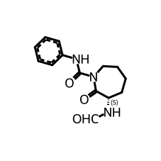 O=CN[C@H]1CCCCN(C(=O)Nc2ccccc2)C1=O